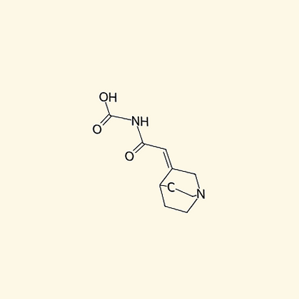 O=C(O)NC(=O)C=C1CN2CCC1CC2